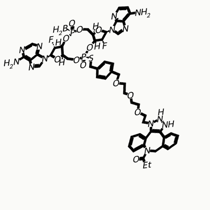 B[P@]1(=O)OC[C@H]2O[C@@H](n3cnc4c(N)ccnc43)[C@H](F)[C@@H]2O[P@@](=O)(SCc2ccc(COCCOCCOCCN3NNC4=C3c3ccccc3N(C(=O)CC)Cc3ccccc34)cc2)OC[C@H]2O[C@@H](n3cnc4c(N)ncnc43)[C@H](F)[C@@H]2O1